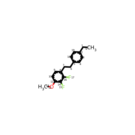 CCc1ccc(CCc2ccc(OC)c(F)c2F)cc1